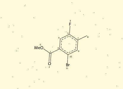 COC(=O)c1cc(F)c(C)cc1Br